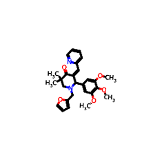 COc1cc(C2C(=Cc3ccccn3)C(=O)C(C)(C)CN2Cc2ccco2)cc(OC)c1OC